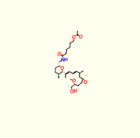 CO[C@H]([C@@H](C)[C@H]1O[C@]1(C)C[C@H](C)/C=C/C=C(\C)[C@H]1O[C@@H](CNC(=O)CCCCCOC(C)=O)CC[C@@H]1C)[C@@H](C)O